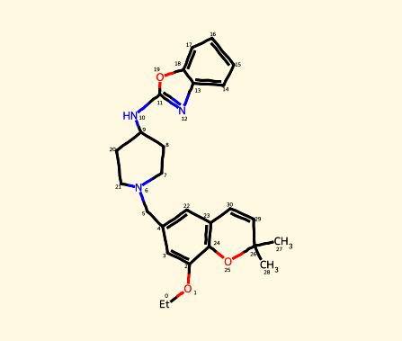 CCOc1cc(CN2CCC(Nc3nc4ccccc4o3)CC2)cc2c1OC(C)(C)C=C2